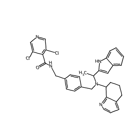 CC(c1cc2ccccc2[nH]1)N(Cc1ccc(CNC(=O)c2c(Cl)cncc2Cl)cc1)C1CCCc2cccnc21